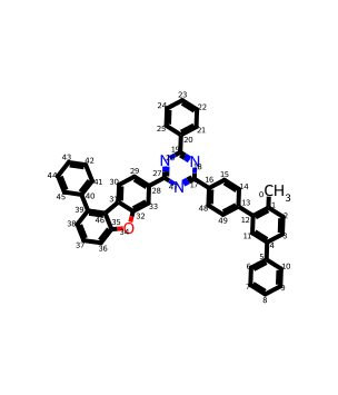 Cc1ccc(-c2ccccc2)cc1-c1ccc(-c2nc(-c3ccccc3)nc(-c3ccc4c(c3)oc3cccc(-c5ccccc5)c34)n2)cc1